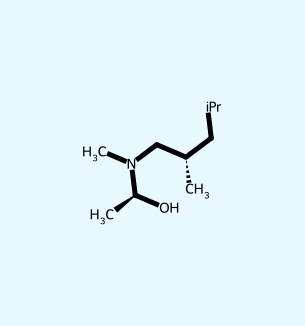 CC(C)C[C@H](C)CN(C)[C@H](C)O